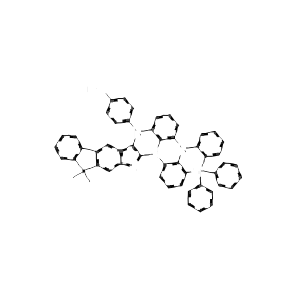 CC(C)(C)c1ccc(N2c3cccc4c3B(c3cccc5c3N4c3ccccc3[Si]5(c3ccccc3)c3ccccc3)c3sc4cc5c(cc4c32)-c2ccccc2C5(C)C)cc1